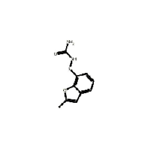 Cc1cc2cccc(SNC(N)=O)c2o1